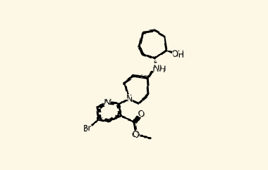 COC(=O)c1cc(Br)cnc1N1CCC(N[C@@H]2CCCCC[C@H]2O)CC1